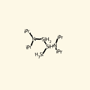 CC(C)N([SiH2][SiH]([SiH3])N(C(C)C)C(C)C)C(C)C